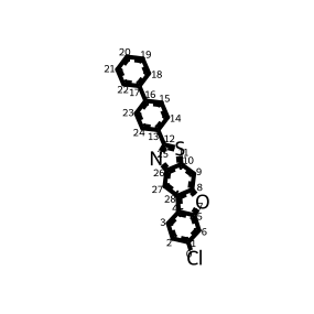 Clc1ccc2c(c1)oc1cc3sc(-c4ccc(-c5ccccc5)cc4)nc3cc12